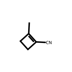 CC1=C(C#N)CC1